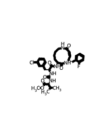 COC(=O)[C@@H](NC(=O)N[C@@H](Cc1cccc(Cl)c1)C(=O)N[C@H]1CCCCNC(=O)C=C[C@H](Cc2ccccc2F)NC1=O)C(C)C